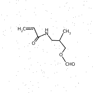 C=CC(=O)NCC(C)COC=O